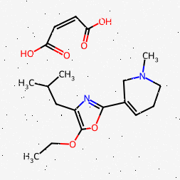 CCOc1oc(C2=CCCN(C)C2)nc1CC(C)C.O=C(O)/C=C\C(=O)O